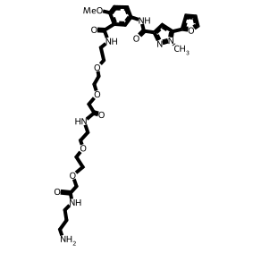 COc1ccc(NC(=O)c2cc(-c3ccco3)n(C)n2)cc1C(=O)NCCOCCOCC(=O)NCCOCCOCC(=O)NCCCN